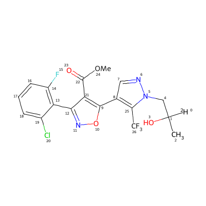 [2H]C(C)(O)Cn1ncc(-c2onc(-c3c(F)cccc3Cl)c2C(=O)OC)c1C(F)(F)F